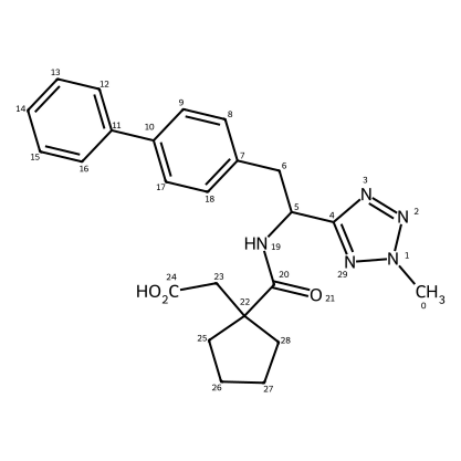 Cn1nnc(C(Cc2ccc(-c3ccccc3)cc2)NC(=O)C2(CC(=O)O)CCCC2)n1